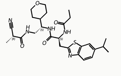 CCC(=O)N[C@@H](Cc1nc2ccc(C(C)C)cc2s1)C(=O)N[C@H](CNC(=O)[C@H](C)C#N)C1CCOCC1